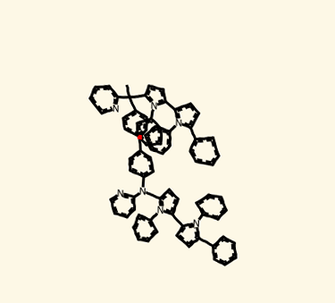 CC(c1ccc(-c2ccc(N(c3ccccn3)c3ccc(-c4ccc(-c5ccccc5)n4-c4ccccc4)n3-c3ccccc3)cc2)cc1)(c1ccccn1)c1ccc(-c2ccc(-c3ccccc3)n2-c2ccccc2)n1-c1ccccc1